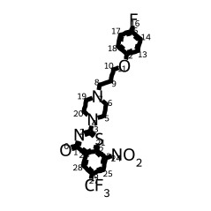 O=c1nc(N2CCN(CCCOc3ccc(F)cc3)CC2)sc2c([N+](=O)[O-])cc(C(F)(F)F)cc12